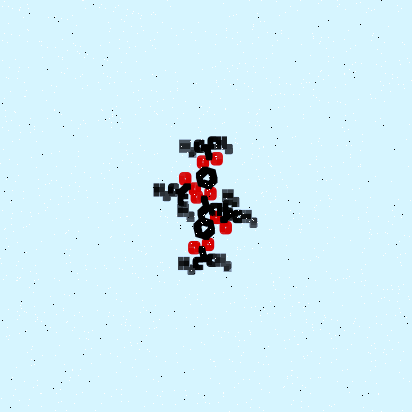 C=C(C)C(=O)Oc1ccc(/C=C(\C)C(=O)Oc2ccc(OC(=O)C(=C)C)cc2OC(=O)C(=C)C)c(OC(=O)C(=C)C)c1